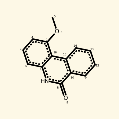 COc1cccc2[nH]c(=O)c3ccccc3c12